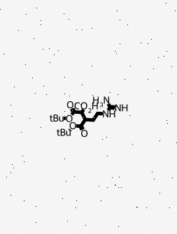 CC(C)(C)OC(=O)C(CCNC(=N)N)C(C(=O)O)C(=O)OC(C)(C)C